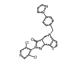 O=c1c2cn(Cc3ccc(-n4cccn4)cc3)c3ccsc3c-2nn1-c1c(Cl)cncc1Cl